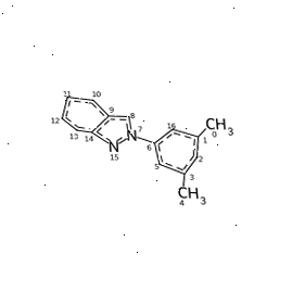 Cc1cc(C)cc(-n2cc3ccccc3n2)c1